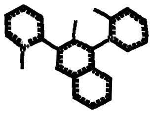 Cc1c(-c2cccc[n+]2C)cc2ccccc2c1-[n+]1ccccc1C